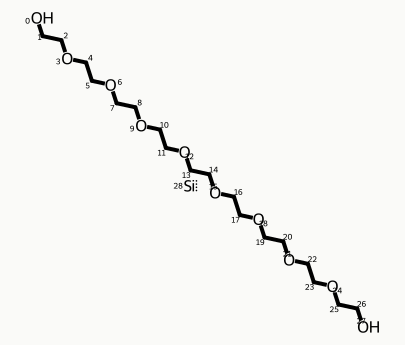 OCCOCCOCCOCCOCCOCCOCCOCCOCCO.[Si]